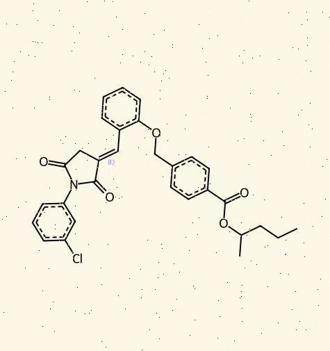 CCCC(C)OC(=O)c1ccc(COc2ccccc2/C=C2\CC(=O)N(c3cccc(Cl)c3)C2=O)cc1